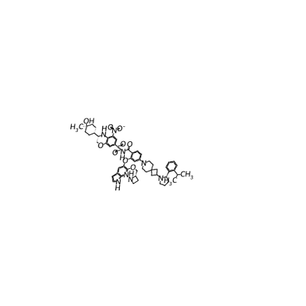 CC(C)c1ccccc1[C@H]1CCCN1C1CC2(CCN(c3ccc(C(=O)NS(=O)(=O)c4cc5c(c([N+](=O)[O-])c4)N[C@@H]([C@H]4CC[C@](C)(O)CC4)CO5)c(Oc4cc5cc[nH]c5nc4OC[C@H]4CCN4)c3)CC2)C1